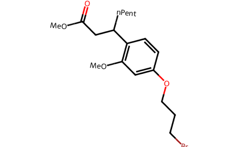 CCCCCC(CC(=O)OC)c1ccc(OCCCBr)cc1OC